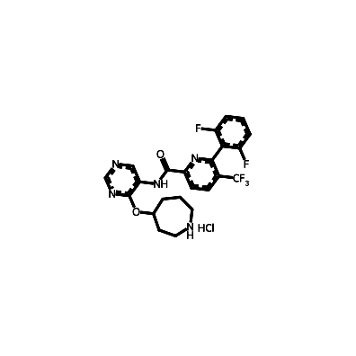 Cl.O=C(Nc1cncnc1OC1CCCNCC1)c1ccc(C(F)(F)F)c(-c2c(F)cccc2F)n1